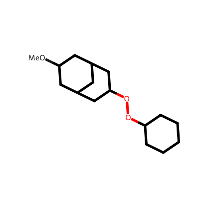 COC1CC2CC(C1)CC(OOC1CCCCC1)C2